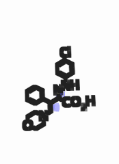 O=C(O)C(=N\Nc1ccc(Cl)cc1)/C(=C/N1CCOCC1)c1ccccc1